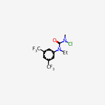 CCN(C(=O)N(C)Cl)c1cc(C(F)(F)F)cc(C(F)(F)F)c1